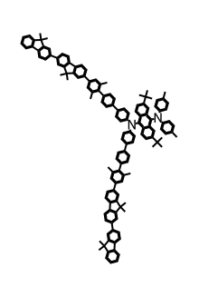 Cc1ccc(N(c2ccc(C)cc2)c2c3cc(C(C)(C)C)ccc3c(N(c3ccc(-c4ccc(-c5c(C)cc(-c6ccc7c(c6)C(C)(C)c6cc(-c8ccc9c(c8)C(C)(C)c8ccccc8-9)ccc6-7)cc5C)cc4)cc3)c3ccc(-c4ccc(-c5c(C)cc(-c6ccc7c(c6)C(C)(C)c6cc(-c8ccc9c(c8)C(C)(C)c8ccccc8-9)ccc6-7)cc5C)cc4)cc3)c3ccc(C(C)(C)C)cc23)cc1